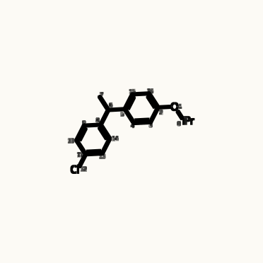 CC(C)Oc1ccc(C(C)c2ccc(Cl)cc2)cc1